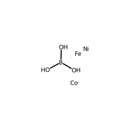 OB(O)O.[Co].[Fe].[Ni]